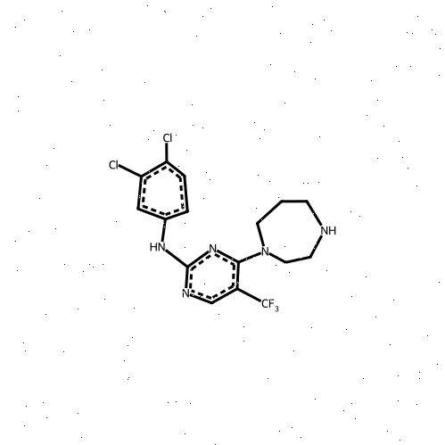 FC(F)(F)c1cnc(Nc2ccc(Cl)c(Cl)c2)nc1N1CCCNCC1